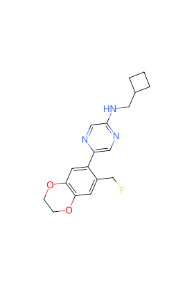 FCc1cc2c(cc1-c1cnc(NCC3CCC3)cn1)OCCO2